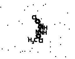 Cc1cc2nc(-c3cc(-c4ccc(Cl)cc4)n[nH]3)[nH]c2cc1Cl